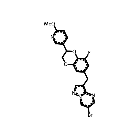 COc1ccc(C2COc3cc(Cc4cnn5cc(Br)cnc45)cc(F)c3O2)cn1